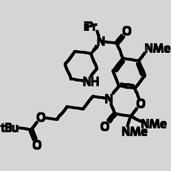 CNc1cc2c(cc1C(=O)N(C(C)C)[C@@H]1CCCNC1)N(CCCCOC(=O)C(C)(C)C)C(=O)C(NC)(NC)O2